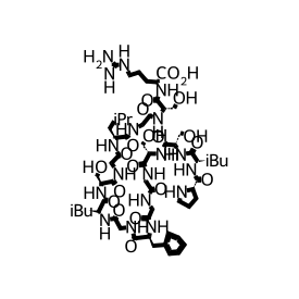 CC[C@H](C)[C@H](NC(=O)CNC(=O)[C@H](Cc1ccccc1)NC(=O)CNC(=O)CNC(=O)[C@H](CO)NC(=O)[C@H](CO)NC(=O)[C@@H](NC(=O)[C@@H]1CCCN1)[C@@H](C)CC)C(=O)N[C@@H](CO)C(=O)NCC(=O)N[C@@H](CC(C)C)C(=O)NCC(=O)N[C@@H](CO)C(=O)N[C@@H](CCCNC(=N)N)C(=O)O